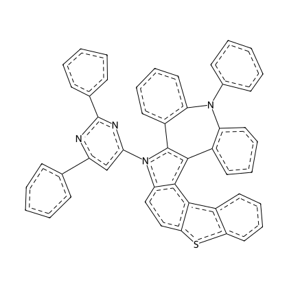 c1ccc(-c2cc(-n3c4c(c5c6c(ccc53)sc3ccccc36)-c3ccccc3N(c3ccccc3)c3ccccc3-4)nc(-c3ccccc3)n2)cc1